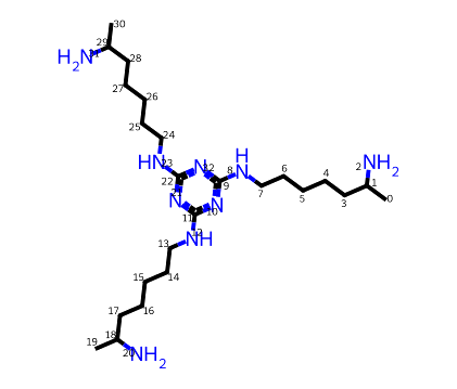 CC(N)CCCCCNc1nc(NCCCCCC(C)N)nc(NCCCCCC(C)N)n1